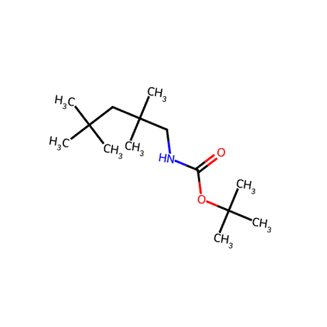 CC(C)(C)CC(C)(C)CNC(=O)OC(C)(C)C